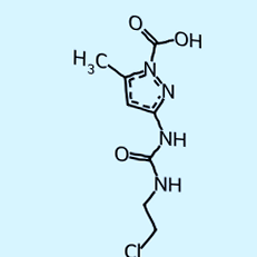 Cc1cc(NC(=O)NCCCl)nn1C(=O)O